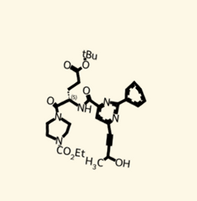 CCOC(=O)N1CCN(C(=O)[C@H](CCC(=O)OC(C)(C)C)NC(=O)c2cc(C#CC(C)O)nc(-c3ccccc3)n2)CC1